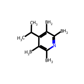 Bc1nc(B)c(B)c(C(C)C)c1B